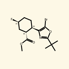 COC(=O)[C@@H]1C[C@@H](F)CC[C@H]1c1nc(C(C)(C)C)oc1Br